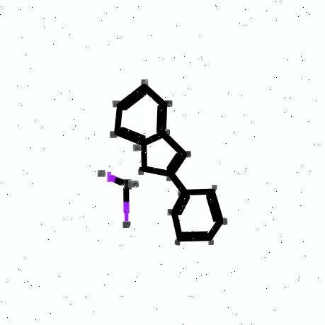 [CH]1C(c2ccccc2)=Cc2ccccc21.[I][Ti][I]